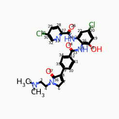 CN(C)CCN1CC=C(c2ccc(C(=O)Nc3c(O)cc(Cl)cc3NC(=O)c3ccc(Cl)cn3)cc2)C1=O